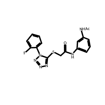 CC(=O)Nc1cccc(NC(=O)CSc2nnnn2-c2ccccc2F)c1